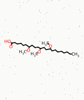 CCCCCCCCC(CCC(CCCC(CCCCCC(=O)O)OC)OC)OC